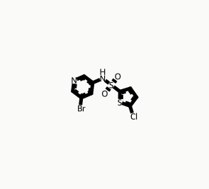 O=S(=O)(Nc1cncc(Br)c1)c1ccc(Cl)s1